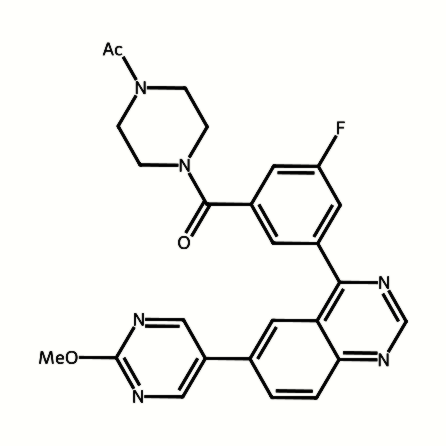 COc1ncc(-c2ccc3ncnc(-c4cc(F)cc(C(=O)N5CCN(C(C)=O)CC5)c4)c3c2)cn1